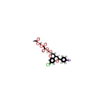 CC(=O)OCOC(=O)C(=O)OCOC(=O)CC(CC(=O)c1ccc(I)cc1)c1ccc(Cl)cc1